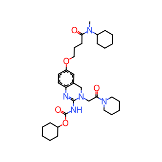 CN(C(=O)CCCOc1ccc2c(c1)CN(CC(=O)N1CCCCC1)C(NC(=O)OC1CCCCC1)=N2)C1CCCCC1